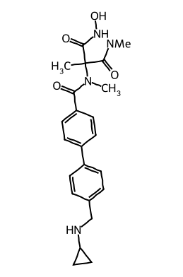 CNC(=O)C(C)(C(=O)NO)N(C)C(=O)c1ccc(-c2ccc(CNC3CC3)cc2)cc1